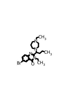 CCCC(c1nc2ccc(Br)cc2c(=O)n1CC)N1CCCN(CC)CC1